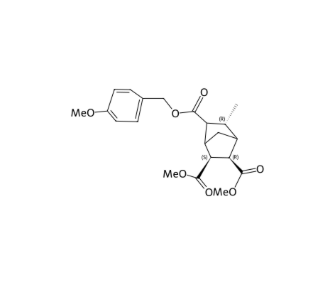 COC(=O)[C@@H]1C2CC(C(C(=O)OCc3ccc(OC)cc3)[C@@H]2C)[C@@H]1C(=O)OC